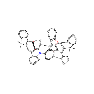 CC1(C)c2ccccc2-c2ccc(-c3ccccc3N(c3ccc(-c4ccccc4-c4cccc5c4C(C)(C)c4ccccc4-5)cc3)c3ccccc3-c3cccc4oc5ccccc5c34)cc21